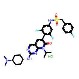 CC(C)n1c(=O)c(-c2c(F)cc(NS(=O)(=O)Cc3ccc(F)cc3)cc2F)cc2cnc(N[C@H]3CC[C@H](N(C)C)CC3)nc21.Cl